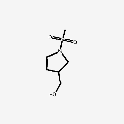 CS(=O)(=O)N1CCC(CO)C1